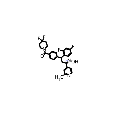 Cc1cc(/C(CC(c2ccc(C(=O)N3CCC(F)(F)CC3)cc2)c2ccc(F)cc2F)=N\O)ccn1